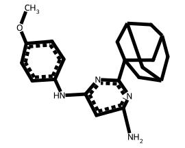 COc1ccc(Nc2cc(N)nc(C34CC5CC(CC(C5)C3)C4)n2)cc1